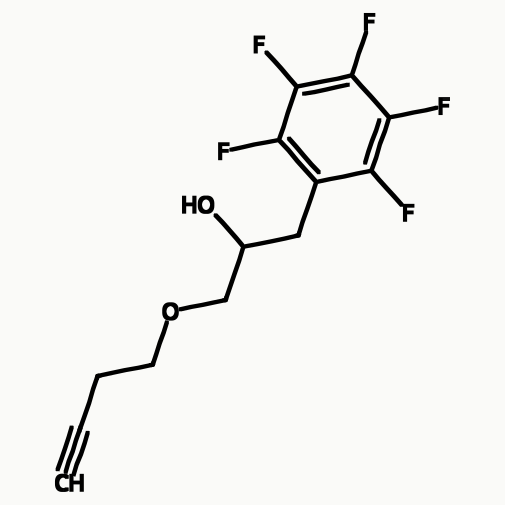 C#CCCOCC(O)Cc1c(F)c(F)c(F)c(F)c1F